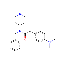 Cc1ccc(CN(C(=O)Cc2ccc(N(C)C)cc2)C2CCN(C)CC2)cc1